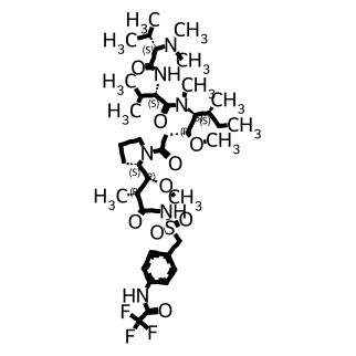 CC[C@H](C)[C@@H]([C@@H](CC(=O)N1CCC[C@H]1[C@H](OC)[C@@H](C)C(=O)NS(=O)(=O)Cc1ccc(NC(=O)C(F)(F)F)cc1)OC)N(C)C(=O)[C@@H](NC(=O)[C@H](C(C)C)N(C)C)C(C)C